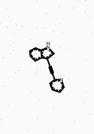 C(#Cc1c[nH]c2ccccc12)c1ccccn1